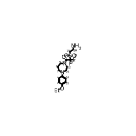 CCOc1ccc(N2CCCN(C(=O)C(F)(F)S(=O)(=O)CCN)CC2)cc1